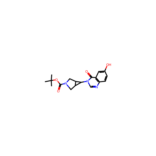 CC(C)(C)OC(=O)N1CC2C(C1)C2n1cnc2ccc(O)cc2c1=O